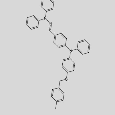 Cc1ccc(COc2ccc(N(c3ccccc3)c3ccc(/C=N/N(c4ccccc4)c4ccccc4)cc3)cc2)cc1